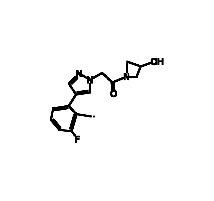 [CH2]c1c(F)cccc1-c1cnn(CC(=O)N2CC(O)C2)c1